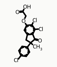 CC1(c2ccc(Cl)cc2)Cc2cc(OCC(=O)O)c(Cl)c(Cl)c2C1=O